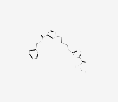 CC(C)NC(=O)c1nnc(CCCCn2cc(C(=O)NCc3ccccc3)nn2)s1